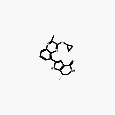 Cc1nc2cccc(-c3cc4c([nH]3)[C@@H](C)CNC4=O)c2nc1NC1CC1